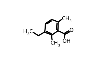 CCc1ccc(C)c(C(=O)O)c1C